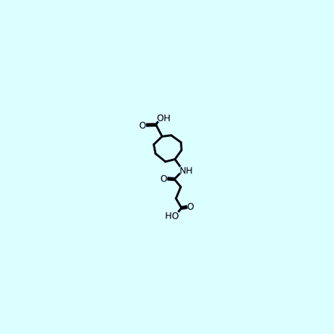 O=C(O)CCC(=O)NC1CCCC(C(=O)O)CCC1